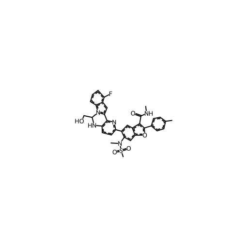 CNC(=O)c1c(-c2ccc(C)cc2)oc2cc(N(C)S(C)(=O)=O)c(-c3ccc4c(n3)-c3cc5c(F)cccc5n3C(CO)N4)cc12